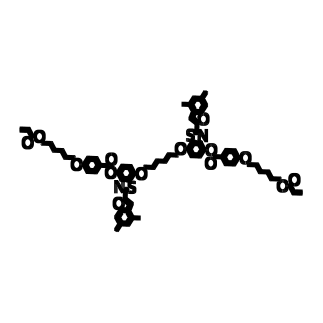 C=CC(=O)OCCCCCCOc1ccc(C(=O)Oc2ccc(OCCCCCCOc3ccc(OC(=O)c4ccc(OCCCCCCOC(=O)C=C)cc4)c4nc(-c5cc6c(C)cc(C)cc6o5)sc34)c3sc(-c4cc5c(C)cc(C)cc5o4)nc23)cc1